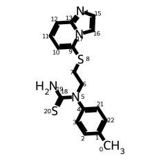 Cc1ccc(N(CCSc2cccc3nccn23)C(N)=S)cc1